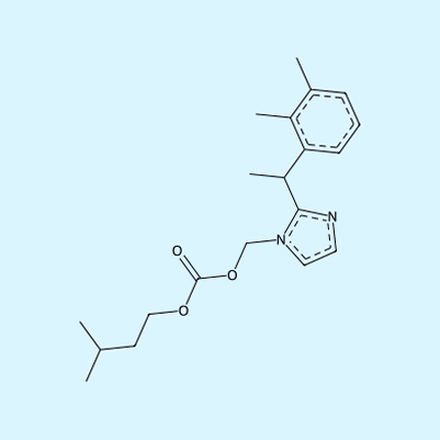 Cc1cccc(C(C)c2nccn2COC(=O)OCCC(C)C)c1C